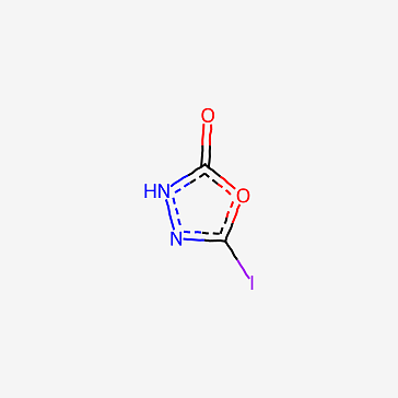 O=c1[nH]nc(I)o1